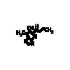 C=CCNc1nc2ncnc-2c(C)n1C